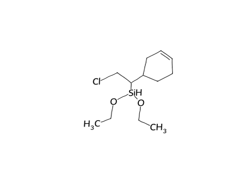 CCO[SiH](OCC)C(CCl)C1CC=CCC1